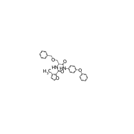 Cc1ccoc1C(=O)NC(COCc1ccccc1)C(=O)Nc1ccc(Oc2ccccc2)cc1